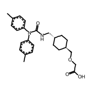 Cc1ccc(N(C(=O)NC[C@H]2CC[C@H](COCC(=O)O)CC2)c2ccc(C)cc2)cc1